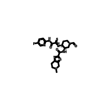 CN1CCc2nc(C(=O)N[C@@H]3CN(C=O)CC[C@@H]3NC(=S)C(=O)Nc3ccc(F)cn3)sc2C1